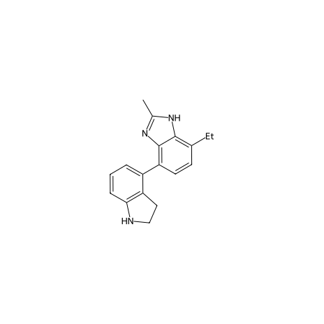 CCc1ccc(-c2cccc3c2CCN3)c2nc(C)[nH]c12